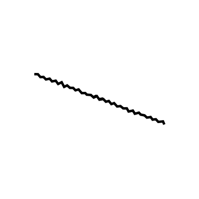 CCCCCCCCCCCCCCCCCCCCC=CC=CCCCCCCCCCCCCCCCCCCCCC